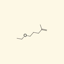 C=C(C)CCCOCC